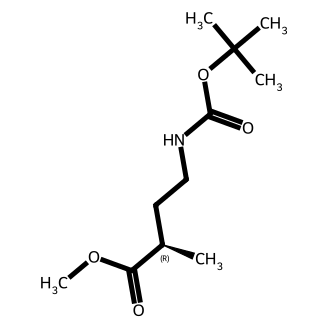 COC(=O)[C@H](C)CCNC(=O)OC(C)(C)C